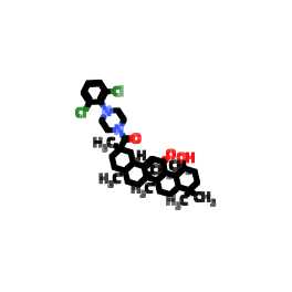 CC1(C(=O)N2CCN(c3c(Cl)cccc3Cl)CC2)CC[C@]2(C)CC[C@]3(C)C(=CC(=O)C4[C@@]5(C)C(O)CCC(C)(C)C5CC[C@]43C)[C@@H]2C1